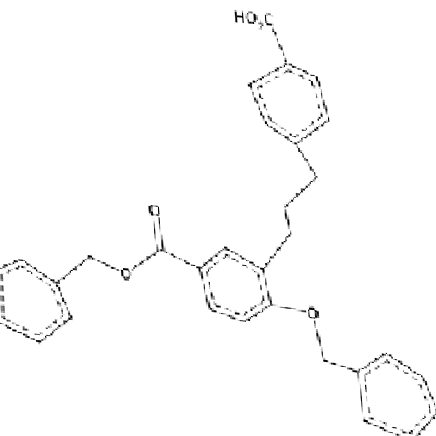 O=C(O)c1ccc(CCCc2cc(C(=O)OCc3ccccc3)ccc2OCc2ccccc2)cc1